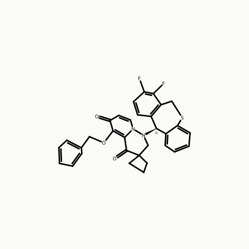 O=C1c2c(OCc3ccccc3)c(=O)ccn2N([C@@H]2c3ccccc3SCc3c2ccc(F)c3F)CC12CCC2